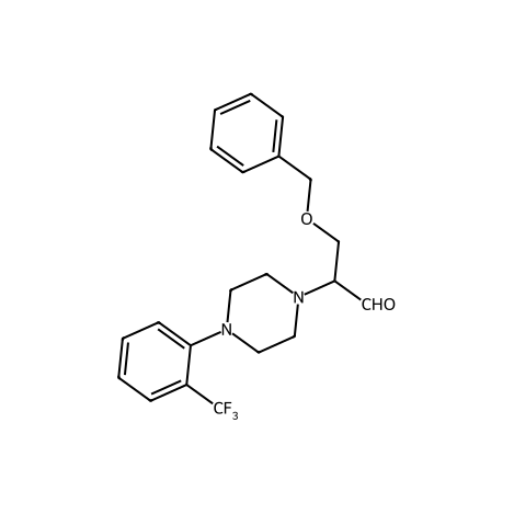 O=CC(COCc1ccccc1)N1CCN(c2ccccc2C(F)(F)F)CC1